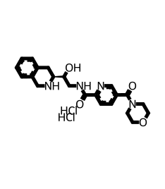 Cl.Cl.O=C(NCC(O)[C@@H]1Cc2ccccc2CN1)c1ccc(C(=O)N2CCOCC2)cn1